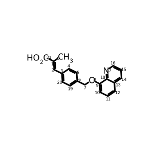 CC(=Cc1ccc(COc2cccc3cccnc23)cc1)C(=O)O